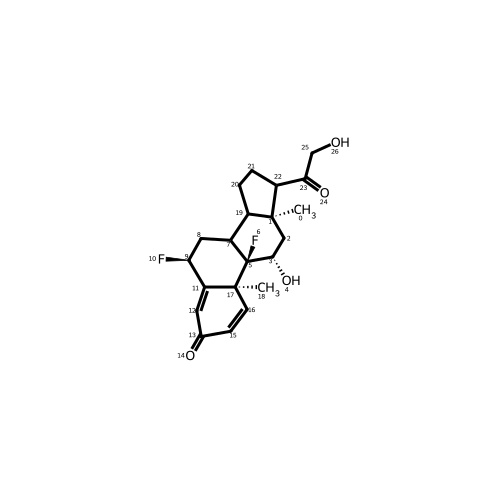 C[C@]12C[C@H](O)[C@@]3(F)C(C[C@H](F)C4=CC(=O)C=C[C@@]43C)C1CCC2C(=O)CO